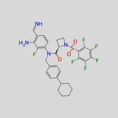 N=Cc1ccc(N(Cc2ccc(C3CCCCC3)cc2)C(=O)[C@H]2CCN2S(=O)(=O)c2c(F)c(F)c(F)c(F)c2F)c(F)c1N